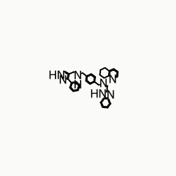 c1ccc(-c2n[nH]cc2CNCc2ccc(CN(Cc3nc4ccccc4[nH]3)C3CCCc4cccnc43)cc2)cc1